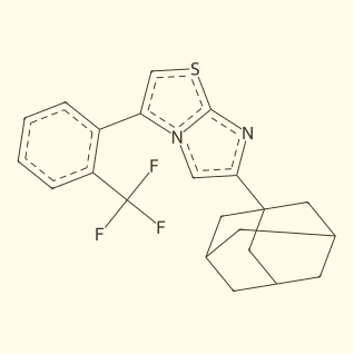 FC(F)(F)c1ccccc1-c1csc2nc(C34CC5CC(CC(C5)C3)C4)cn12